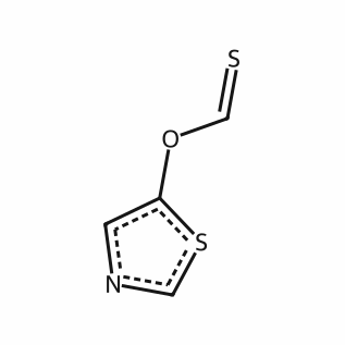 S=COc1cncs1